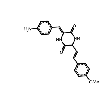 COc1ccc(C=CC2NC(=O)C(=Cc3ccc(N)cc3)NC2=O)cc1